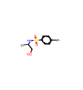 CCC(CO)NS(=O)(=O)c1ccc(C(C)C)cc1